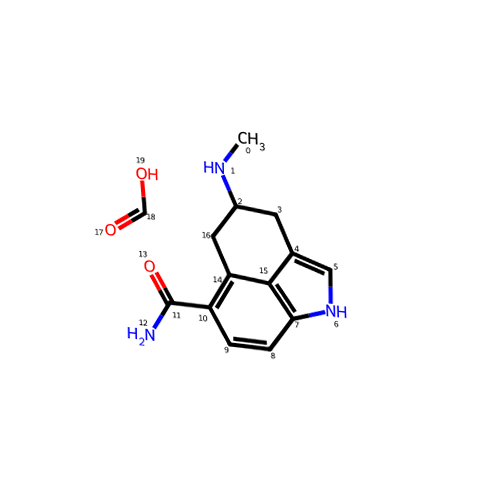 CNC1Cc2c[nH]c3ccc(C(N)=O)c(c23)C1.O=CO